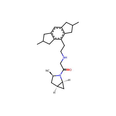 CC1Cc2cc3c(c(CCNCC(=O)N4[C@H](C#N)C[C@@H]5C[C@@H]54)c2C1)CC(C)C3